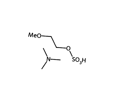 CN(C)C.COCCOS(=O)(=O)O